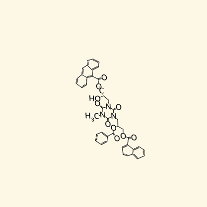 Cn1c(=O)n(CC(O)COC(=O)c2c3ccccc3cc3ccccc23)c(=O)n(CC(COC(=O)c2cccc3ccccc23)OC(=O)c2ccccc2)c1=O